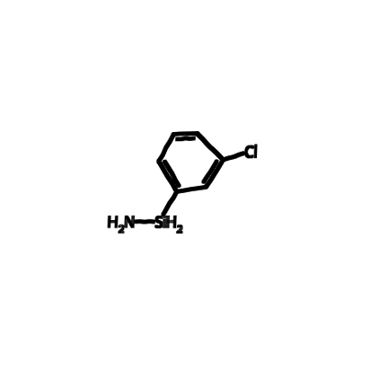 N[SiH2]c1cccc(Cl)c1